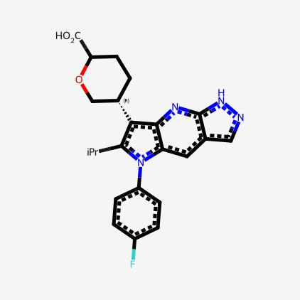 CC(C)c1c([C@H]2CCC(C(=O)O)OC2)c2nc3[nH]ncc3cc2n1-c1ccc(F)cc1